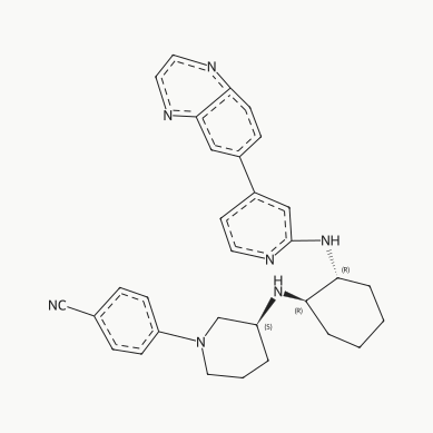 N#Cc1ccc(N2CCC[C@H](N[C@@H]3CCCC[C@H]3Nc3cc(-c4ccc5nccnc5c4)ccn3)C2)cc1